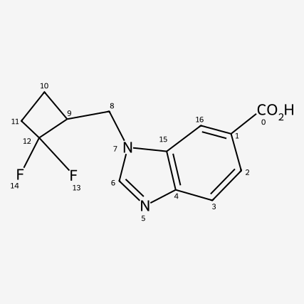 O=C(O)c1ccc2ncn(CC3CCC3(F)F)c2c1